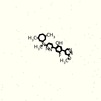 COc1cc(-c2cc(O)c(-c3ccc(N(C)[C@H]4C[C@H](C)CC[C@H](C)C4)nn3)cc2F)cnn1